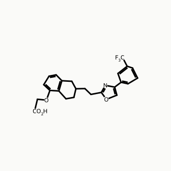 O=C(O)COc1cccc2c1CCC(CCc1nc(-c3cccc(C(F)(F)F)c3)co1)C2